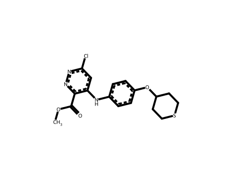 COC(=O)c1nnc(Cl)cc1Nc1ccc(OC2CCSCC2)cc1